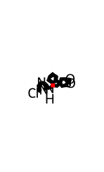 O=S1(=O)CCC(CCNc2cncc(Cl)n2)(c2ccccc2)CC1